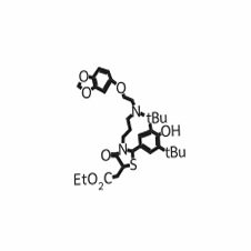 CCOC(=O)CC1SC(c2cc(C(C)(C)C)c(O)c(C(C)(C)C)c2)N(CCCN(C)CCOc2ccc3c(c2)OCO3)C1=O